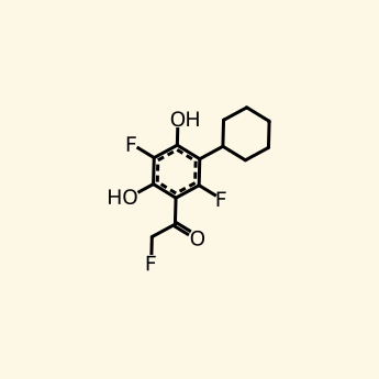 O=C(CF)c1c(O)c(F)c(O)c(C2CCCCC2)c1F